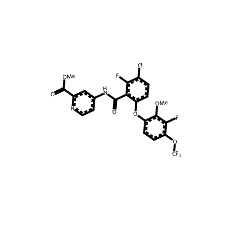 COC(=O)c1cc(NC(=O)c2c(Oc3ccc(OC(F)(F)F)c(F)c3OC)ccc(Cl)c2F)ccn1